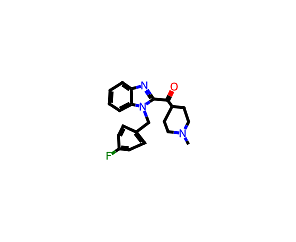 CN1CCC(C(=O)c2nc3ccccc3n2Cc2ccc(F)cc2)CC1